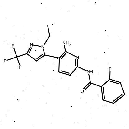 CCn1nc(C(F)(F)F)cc1-c1ccc(NC(=O)c2ccccc2F)nc1N